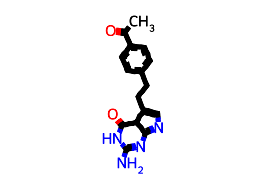 CC(=O)c1ccc(CCC2=CN=C3N=C(N)NC(=O)C23)cc1